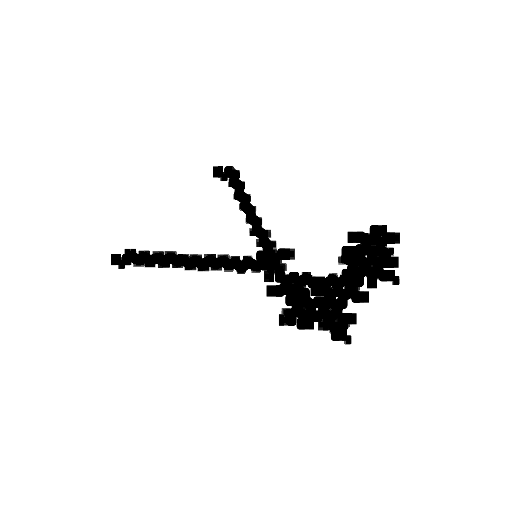 CCCCCCCCCCCCC/C=C/[C@@H](O)[C@H](CO[C@@H]1OC(CO)[C@@H](O[C@@H]2OC(CO)[C@H](O)[C@H](O[C@@H]3OC(CO)[C@@H](O[C@@H]4OC(CO)[C@H](O)[C@H](O[C@@H]5OC(CO)[C@@H](O[C@@H]6OC(CO)[C@H](O)[C@H](O)C6O)[C@H](O)C5NC(C)=O)C4O)[C@H](O)C3NC(C)=O)C2O)[C@H](O)C1O)NC(=O)CCCCCCCCCCCCCCCCCCCCC